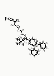 [2H]C([2H])([2H])C([2H])(C)N(CCCCOCC(=O)O)c1cnc(-c2ccccc2)c(-c2ccccc2)n1